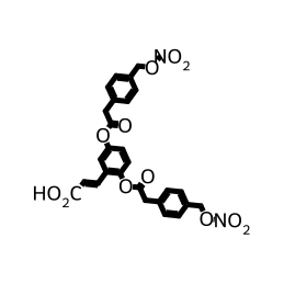 O=C(O)C=Cc1cc(OC(=O)Cc2ccc(CO[N+](=O)[O-])cc2)ccc1OC(=O)Cc1ccc(CO[N+](=O)[O-])cc1